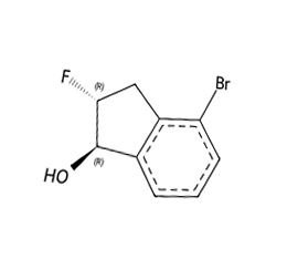 O[C@@H]1c2cccc(Br)c2C[C@H]1F